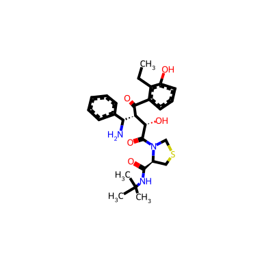 CCc1c(O)cccc1C(=O)[C@@H](C(N)c1ccccc1)[C@H](O)C(=O)N1CSC[C@H]1C(=O)NC(C)(C)C